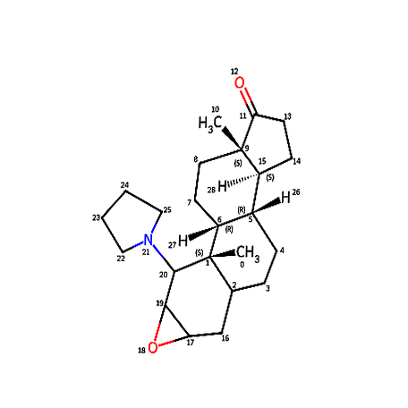 C[C@]12C(CC[C@@H]3[C@H]1CC[C@]1(C)C(=O)CC[C@@H]31)CC1OC1C2N1CCCC1